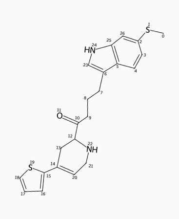 CSc1ccc2c(CCCC(=O)C3CC(c4cccs4)=CCN3)c[nH]c2c1